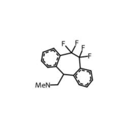 CNCC1c2ccccc2C(F)(F)C(F)(F)c2ccccc21